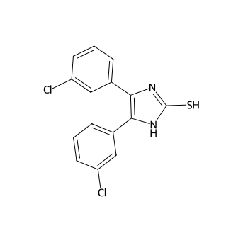 Sc1nc(-c2cccc(Cl)c2)c(-c2cccc(Cl)c2)[nH]1